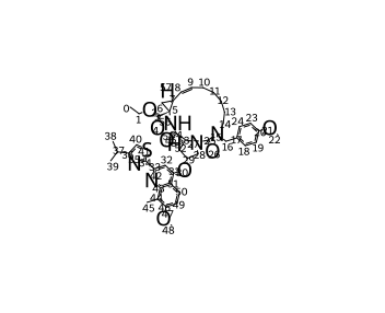 CCOC(=O)[C@@]12C[C@H]1/C=C\CCCCCN(Cc1ccc(OC)cc1)C(=O)N1C[C@H](Oc3cc(-c4nc(C(C)C)cs4)nc4c(C)c(OC)ccc34)C[C@H]1C(=O)N2